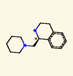 c1ccc2c(c1)CC[N][C@@H]2CN1CCCCC1